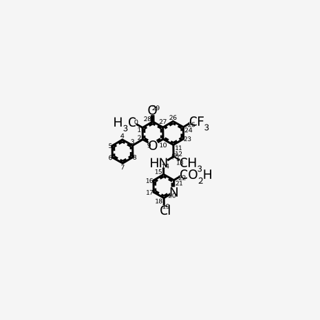 Cc1c(-c2ccccc2)oc2c([C@@H](C)Nc3ccc(Cl)nc3C(=O)O)cc(C(F)(F)F)cc2c1=O